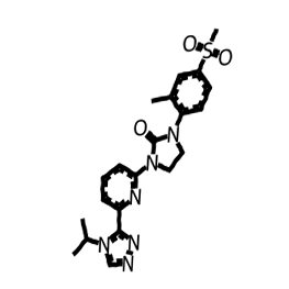 Cc1cc(S(C)(=O)=O)ccc1N1CCN(c2cccc(-c3nncn3C(C)C)n2)C1=O